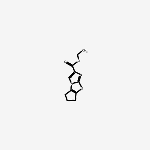 CCOC(=O)c1cn2c3c(sc2n1)CCC3